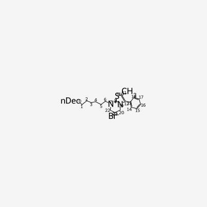 CCCCCCCCCCCCCCCC[N+]1=C2SC(C)=C(c3ccccc3)N2CCC1.[Br-]